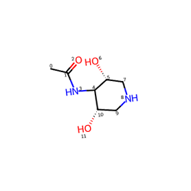 CC(=O)NC1[C@H](O)CNC[C@@H]1O